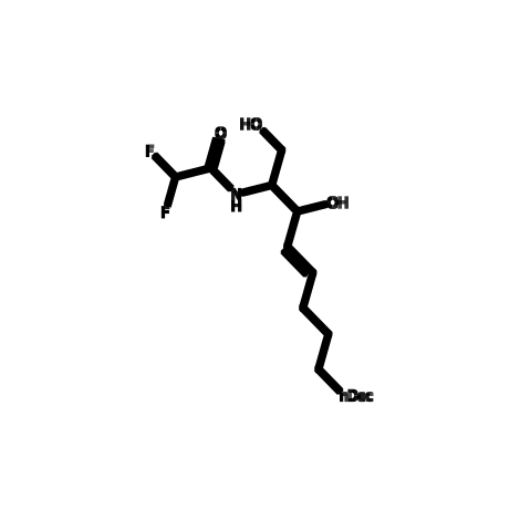 CCCCCCCCCCCCCC=CC(O)C(CO)NC(=O)C(F)F